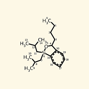 CCCCC1O[Si](CC(C)C)(CC(C)C)c2ccccc21